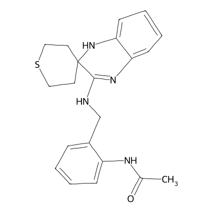 CC(=O)Nc1ccccc1CNC1=Nc2ccccc2NC12CCSCC2